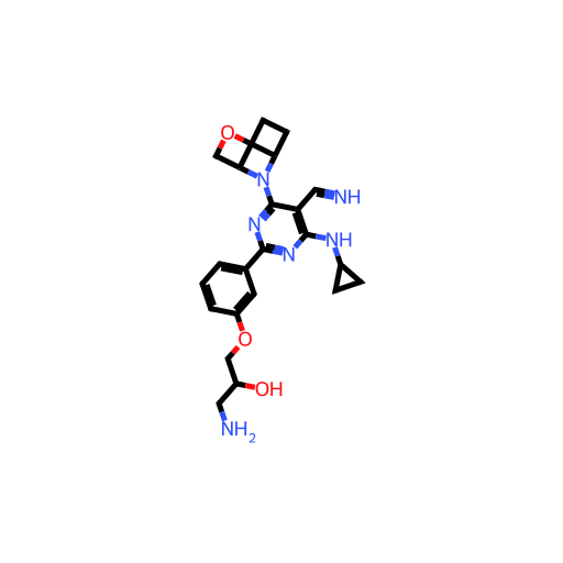 N=Cc1c(NC2CC2)nc(-c2cccc(OCC(O)CN)c2)nc1N1C2CCC23OCC13